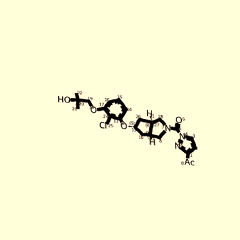 CC(=O)c1ccn(C(=O)N2C[C@H]3C[C@H](Oc4cccc(OCC(C)(C)O)c4Cl)C[C@H]3C2)n1